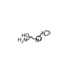 NC/C(O)=C\Cc1cc(CN2CCSCC2)ccn1